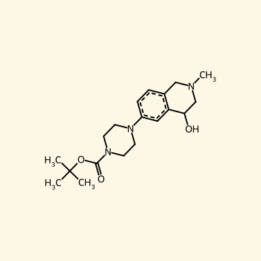 CN1Cc2ccc(N3CCN(C(=O)OC(C)(C)C)CC3)cc2C(O)C1